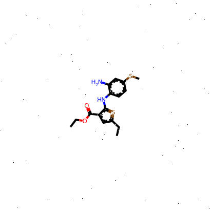 CCOC(=O)c1cc(CC)sc1Nc1ccc(SC)cc1N